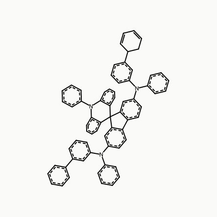 C1=CCC(c2cccc(N(c3ccccc3)c3ccc4c(c3)C3(c5cc(N(c6ccccc6)c6cccc(-c7ccccc7)c6)ccc5-4)c4ccccc4N(c4ccccc4)c4ccccc43)c2)C=C1